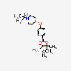 CC(C)(C)N1CCC(Oc2ccc(B3OC(C)(C)C(C)(C)O3)cc2)CC1